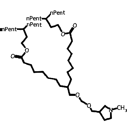 CCCCCC(CCCCC)CCOC(=O)CCCCCCCC(CCCCCCCC(=O)OCCC(CCCCC)CCCCC)COCOCC1CCN(C)C1